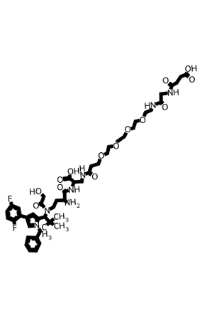 CC(C)(C)C(c1cc(-c2cc(F)ccc2F)cn1Cc1ccccc1)N(CCC(N)C(=O)NC(CNC(=O)CCOCCOCCOCCOCCNC(=O)CNC(=O)CCC(=O)O)C(=O)O)C(=O)CO